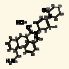 Cc1cc(NC(=O)C(Cc2cccc(CN)c2)c2ccccc2F)ccc1N1CCCCC1=O.Cl